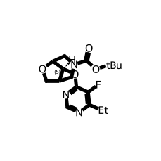 CCc1ncnc(O[C@H]2C3COC2CN(C(=O)OC(C)(C)C)C3)c1F